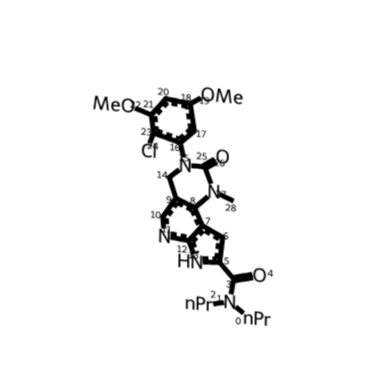 CCCN(CCC)C(=O)c1cc2c3c(cnc2[nH]1)CN(c1cc(OC)cc(OC)c1Cl)C(=O)N3C